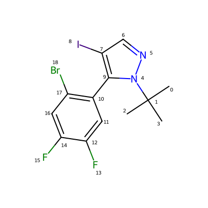 CC(C)(C)n1ncc(I)c1-c1cc(F)c(F)cc1Br